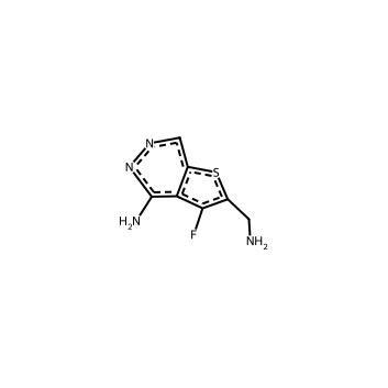 NCc1sc2cnnc(N)c2c1F